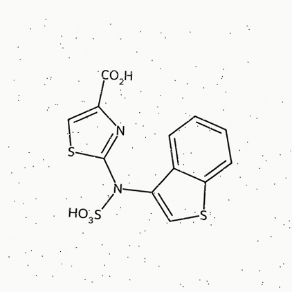 O=C(O)c1csc(N(c2csc3ccccc23)S(=O)(=O)O)n1